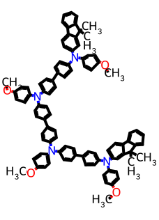 COc1ccc(N(c2ccc(-c3ccc(N(c4ccc(OC)cc4)c4ccc(-c5ccc(N(c6ccc(OC)cc6)c6ccc7c(c6)C(C)(C)c6ccccc6-7)cc5)cc4)cc3)cc2)c2ccc(-c3ccc(N(c4ccc(OC)cc4)c4ccc5c(c4)C(C)(C)c4ccccc4-5)cc3)cc2)cc1